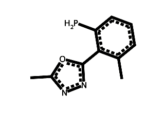 Cc1nnc(-c2c(C)cccc2P)o1